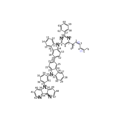 C=C(/C=C\C=C/C)c1cc(-n2c3ccccc3c3cc(-c4ccc5c(c4)c4ccccc4n5-c4cccc(-n5c6cccnc6c6ncccc65)c4)ccc32)nc(-c2ccccc2)n1